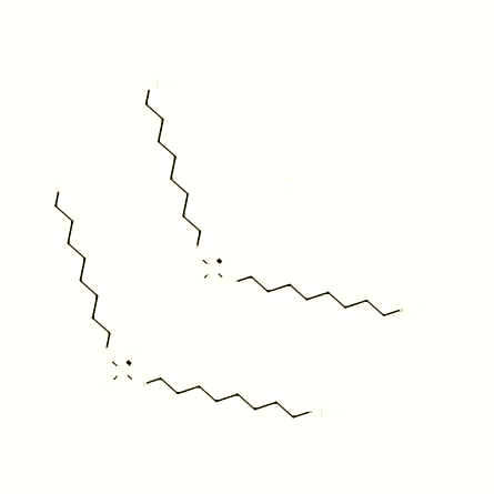 CCCCCCCCCCCCCCCCCCOP(=O)([O-])OCCCCCCCCCCCCCCCCCC.CCCCCCCCCCCCCCCCCCOP(=O)([O-])OCCCCCCCCCCCCCCCCCC.[Zn+2]